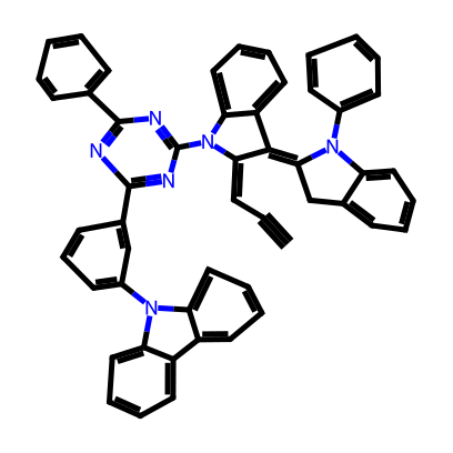 C#C/C=c1\c(=C2/Cc3ccccc3N2c2ccccc2)c2ccccc2n1-c1nc(-c2ccccc2)nc(-c2cccc(-n3c4ccccc4c4ccccc43)c2)n1